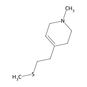 CSCCC1=CCN(C)CC1